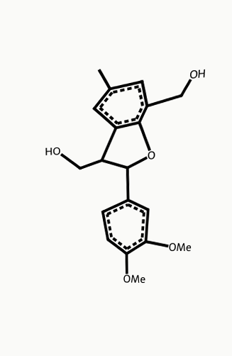 COc1ccc(C2Oc3c(CO)cc(C)cc3C2CO)cc1OC